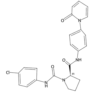 O=C(Nc1ccc(-n2ccccc2=O)cc1)[C@H]1CCCN1C(=O)Nc1ccc(Cl)cc1